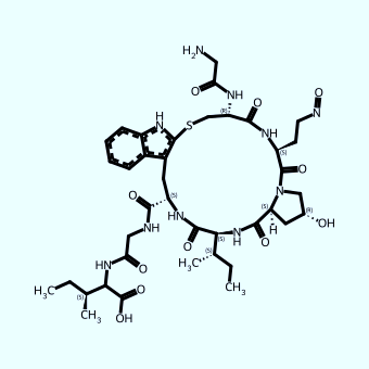 CC[C@H](C)C(NC(=O)CNC(=O)[C@@H]1Cc2c([nH]c3ccccc23)SC[C@H](NC(=O)CN)C(=O)N[C@@H](CCN=O)C(=O)N2C[C@H](O)C[C@H]2C(=O)N[C@@H]([C@@H](C)CC)C(=O)N1)C(=O)O